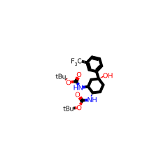 CC(C)(C)OC(=O)NC1C[C@@](O)(c2cccc(C(F)(F)F)c2)CC[C@@H]1NC(=O)OC(C)(C)C